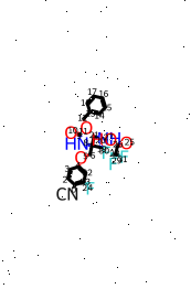 N#Cc1ccc(OCC2(NC(=O)OCc3ccccc3)CNC2)cc1F.O=C(O)C(F)(F)F